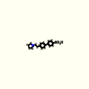 O=S(=O)(O)c1ccc(-c2ccc(CCN3CCCC3)cc2)cc1